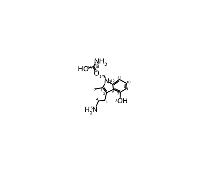 Cc1c(CCN)c2c(O)cccc2n1C.NC(=O)O